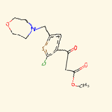 COC(=O)CC(=O)c1cc(CN2CCOCC2)sc1Cl